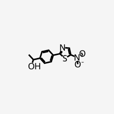 CC(O)c1ccc(-c2ncc([N+](=O)[O-])s2)cc1